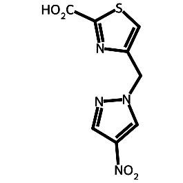 O=C(O)c1nc(Cn2cc([N+](=O)[O-])cn2)cs1